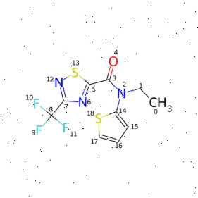 CCN(C(=O)c1nc(C(F)(F)F)ns1)c1cccs1